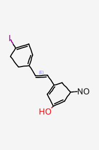 O=NC1C=C(O)C=C(/C=C/C2=CC=C(I)CC2)C1